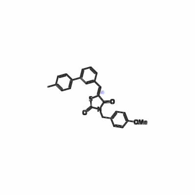 COc1ccc(CN2C(=O)S/C(=C\c3cccc(-c4ccc(C)cc4)c3)C2=O)cc1